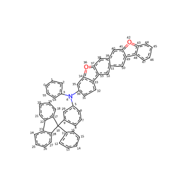 c1ccc(N(c2cccc(C3(c4ccccc4)c4ccccc4-c4ccccc43)c2)c2ccc3c(c2)oc2cc4cc5oc6ccccc6c5cc4cc23)cc1